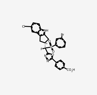 O=C(O)c1ccc(-c2nnc(C(F)([C@H]3Cc4[nH]c5ccc(Cl)cc5c4C3)S(=O)(=O)c3cccc(Br)c3)o2)cc1